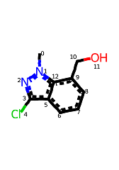 Cn1nc(Cl)c2cccc(CO)c21